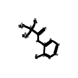 CCC(C)(C)C(=O)Cc1ccccc1Br